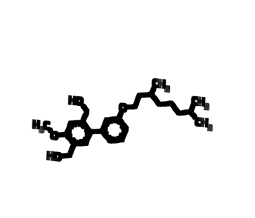 COc1cc(CO)c(-c2cccc(OCCC(C)CCCC(C)C)c2)cc1CO